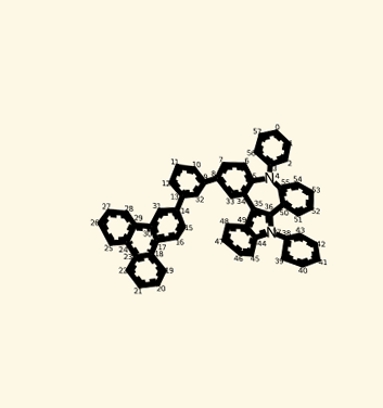 c1ccc(N2c3ccc(-c4cccc(-c5ccc6c7ccccc7c7ccccc7c6c5)c4)cc3-c3c(n(-c4ccccc4)c4ccccc34)-c3ccccc32)cc1